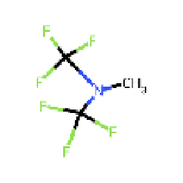 CN(C(F)(F)F)C(F)(F)F